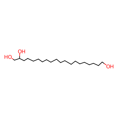 OCCCCCCCCCCCCCCCCCCC(O)CO